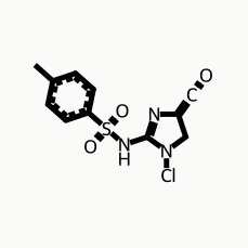 Cc1ccc(S(=O)(=O)NC2=NC(=C=O)CN2Cl)cc1